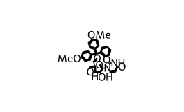 COc1ccc(C(OC[C@]23CO[C@H]2[C@@H](O)[C@H](n2ccc(=O)[nH]c2=O)O3)(c2ccccc2)c2ccc(OC)cc2)cc1